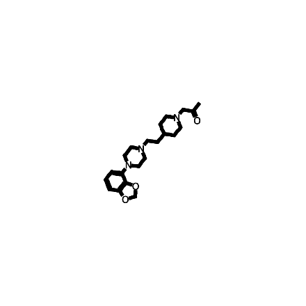 CC(=O)CN1CCC(CCN2CCN(c3cccc4c3OCO4)CC2)CC1